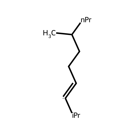 CCCC(C)CCC=[C]C(C)C